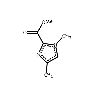 COC(=O)c1nc(C)cn1C